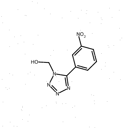 O=[N+]([O-])c1cccc(-c2nnnn2CO)c1